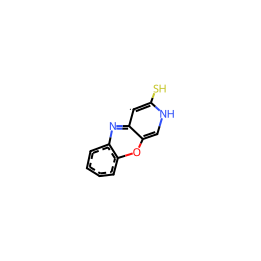 SC1=[C]C2=Nc3ccccc3OC2=CN1